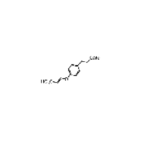 COCCc1ccc(OC=CC(=O)O)cc1